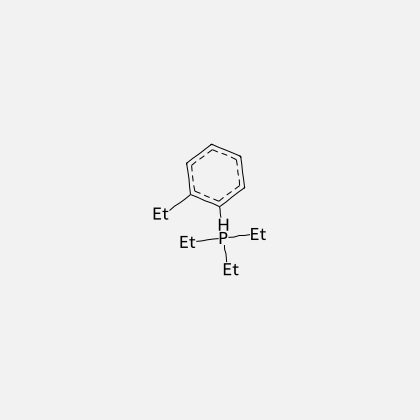 CCc1ccccc1[PH](CC)(CC)CC